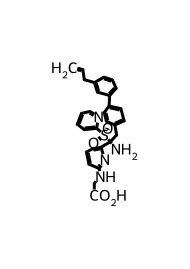 C=CCc1cccc(-c2ccc(CC(N)(c3cccc(NCC(=O)O)n3)S(=O)(=O)c3ccccn3)cc2)c1